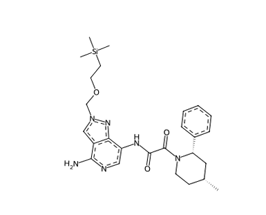 C[C@@H]1CCN(C(=O)C(=O)Nc2cnc(N)c3cn(COCC[Si](C)(C)C)nc23)[C@H](c2ccccc2)C1